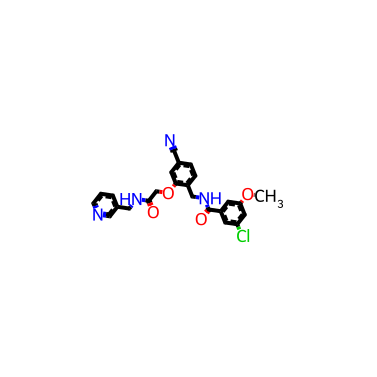 COc1cc(Cl)cc(C(=O)NCc2ccc(C#N)cc2OCC(=O)NCc2cccnc2)c1